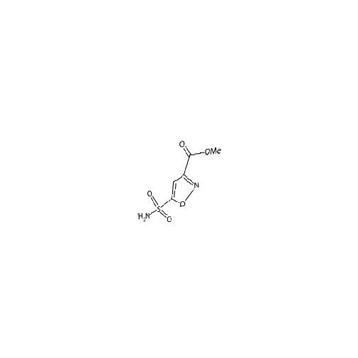 COC(=O)c1cc(S(N)(=O)=O)on1